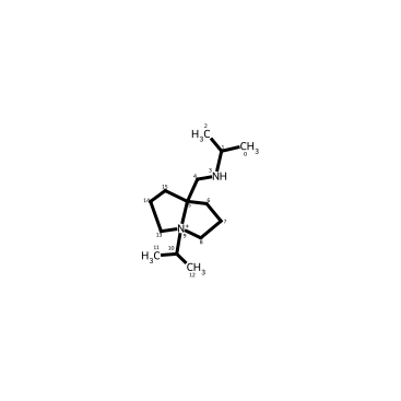 CC(C)NCC12CCC[N+]1(C(C)C)CCC2